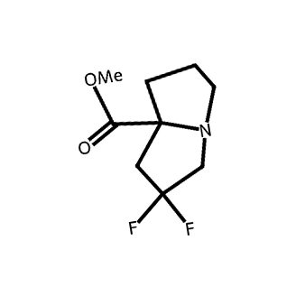 COC(=O)C12CCCN1CC(F)(F)C2